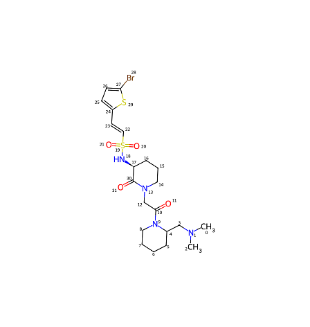 CN(C)CC1CCCCN1C(=O)CN1CCC[C@H](NS(=O)(=O)/C=C/c2ccc(Br)s2)C1=O